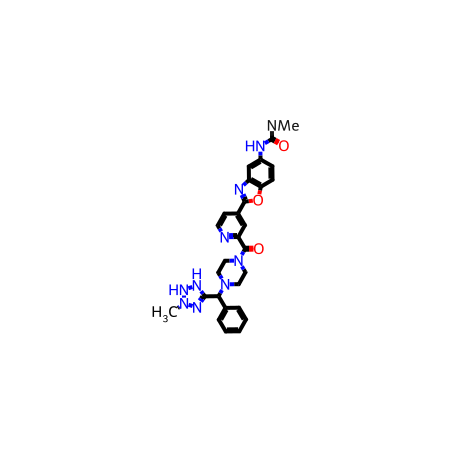 CNC(=O)Nc1ccc2oc(-c3ccnc(C(=O)N4CCN(C(C5=NN(C)NN5)c5ccccc5)CC4)c3)nc2c1